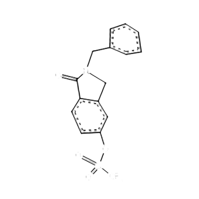 O=C1c2ccc(OS(=O)(=O)C(F)(F)F)cc2CN1Cc1ccccc1